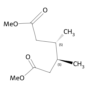 COC(=O)C[C@H](C)[C@@H](C)CC(=O)OC